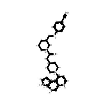 N#Cc1ccc(OCC2CCCN(C(=O)CC3CCN(c4ccnc5cnc6[nH]ccc6c45)CC3)C2)cc1